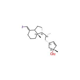 C[C@H](C[C@@H]1C=C[C@](C)(O)C1)[C@H]1CCC2C(=CI)CCC[C@]21C